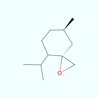 CC(C)C1CC[C@@H](C)C[C@@]12CO2